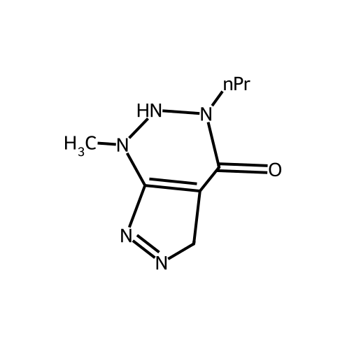 CCCN1NN(C)C2=C(CN=N2)C1=O